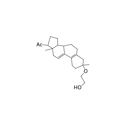 CC(=O)C1CCC2C3CCC4=C(CCC(C)(OCCO)C4)C3=CCC12C